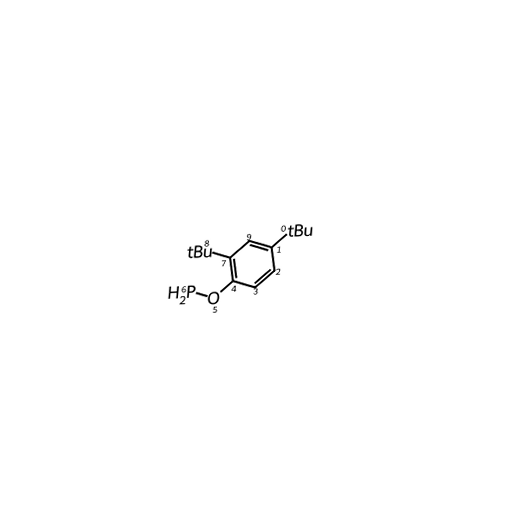 CC(C)(C)c1ccc(OP)c(C(C)(C)C)c1